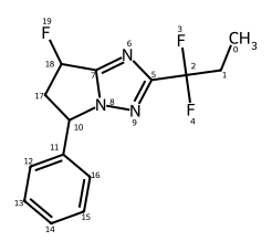 CCC(F)(F)c1nc2n(n1)C(c1ccccc1)CC2F